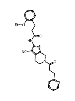 CCOc1ccccc1CCC(=O)Nc1sc2c(c1C#N)CCN(C(=O)CCc1ccccn1)C2